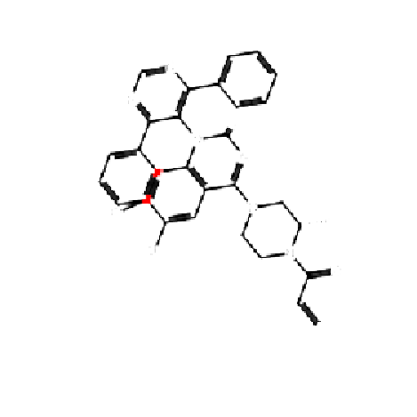 C=CC(=O)N1CCN(c2nc(=O)n(-c3c(-c4ccccc4)ncnc3-c3ccccc3)c3nc(Cl)c(Cl)cc23)C[C@@H]1C